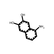 Nc1cccc2cc(O)c(O)cc12